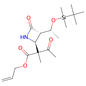 C=CCOC(=O)C(C)(C(C)=O)[C@H]1NC(=O)[C@@H]1[C@@H](C)O[Si](C)(C)C(C)(C)C